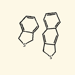 c1ccc2c(c1)CSC2.c1ccc2cc3c(cc2c1)CSC3